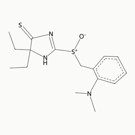 CCC1(CC)NC([S+]([O-])Cc2ccccc2N(C)C)=NC1=S